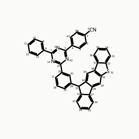 N#Cc1ccc(-c2nc(-c3ccccc3)nc(-c3cccc(C4c5ccccc5-c5cc6sc7ccccc7c6cc54)c3)n2)cc1